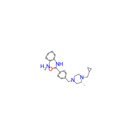 C[C@@H]1CN(Cc2ccc(C(=O)Nc3ccccc3N)cc2)CCN1CC1CC1